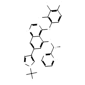 [2H]C([2H])([2H])n1cc(-c2cc(O[C@@H](C)c3ncccn3)c3c(Nc4ccc(F)c(Cl)c4F)ncnc3c2)cn1